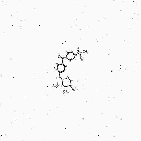 CC(=O)O[C@@H]1[C@@H](OC(C)=O)[C@@H](Oc2ccc(C(=O)c3ccc(S(C)(=O)=O)cc3)cc2)OC[C@H]1OC(C)=O